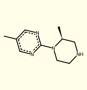 Cc1cnc(N2CCNC[C@@H]2C)nc1